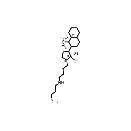 CC[C@@]1(C)C(C2CCC3CCCC[C@]3(C)C2C)CC[C@@H]1CCCCNCCCN